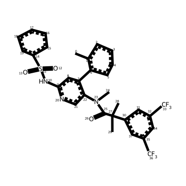 Cc1ccccc1-c1cc(NS(=O)(=O)c2ccccc2)ncc1N(C)C(=O)C(C)(C)c1cc(C(F)(F)F)cc(C(F)(F)F)c1